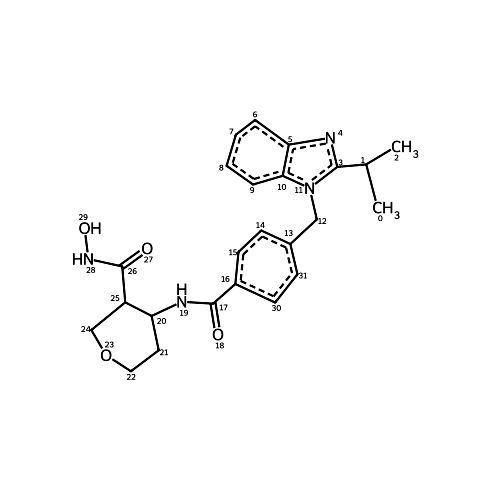 CC(C)c1nc2ccccc2n1Cc1ccc(C(=O)NC2CCOCC2C(=O)NO)cc1